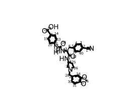 N#Cc1ccc(C[C@H](NC(=O)Nc2ccc(C(=O)O)cc2)C(=O)N[C@H]2CCN(Cc3ccc4c(c3)OCO4)C2)cc1